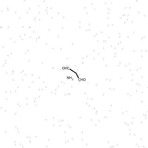 N.O=CCC=O